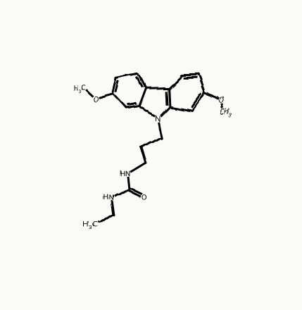 CCNC(=O)NCCCn1c2cc(OC)ccc2c2ccc(OC)cc21